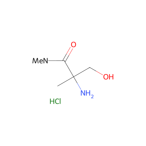 CNC(=O)C(C)(N)CO.Cl